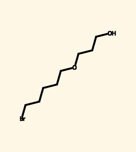 OCCCOCCCCCBr